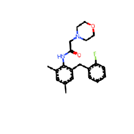 Cc1cc(C)c(NC(=O)CN2CCOCC2)c(Cc2ccccc2F)c1